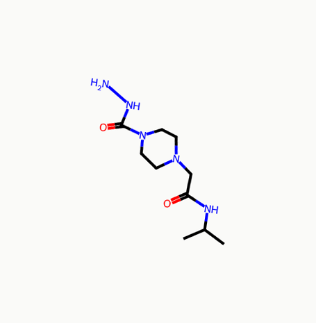 CC(C)NC(=O)CN1CCN(C(=O)NN)CC1